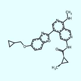 CNc1ncc(-c2nc3cc(OCC4CC4)ccc3o2)c2cc(NC(=O)[C@H]3C[C@H]3C)ncc12